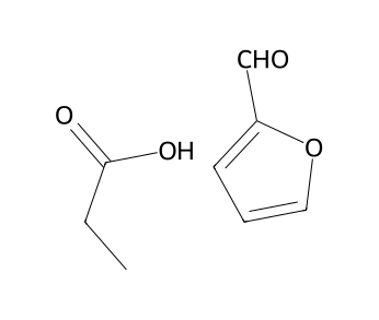 CCC(=O)O.O=Cc1ccco1